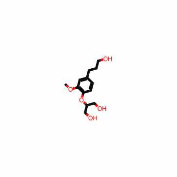 COc1cc(CCCO)ccc1OC(CO)CO